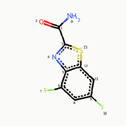 NC(=O)c1nc2c(F)cc(F)cc2s1